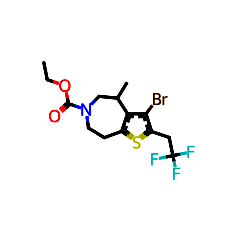 CCOC(=O)N1CCc2sc(CC(F)(F)F)c(Br)c2C(C)C1